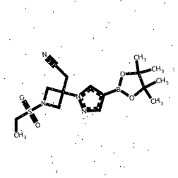 CCS(=O)(=O)N1CC(CC#N)(n2cc(B3OC(C)(C)C(C)(C)O3)cn2)C1